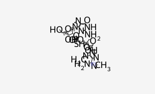 C=Nc1c(/C(N)=N\C)ncn1[C@@H]1O[C@@]2(COP(=O)(S)OC3C(O)[C@@H](CO)O[C@H]3n3cnc4c(=O)[nH]c(N)nc43)COC1C2O